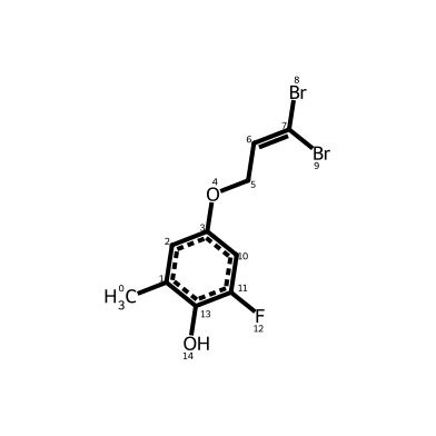 Cc1cc(OCC=C(Br)Br)cc(F)c1O